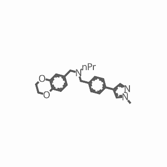 CCCN(Cc1ccc(-c2cnn(C)c2)cc1)Cc1ccc2c(c1)OCCO2